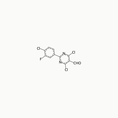 O=Cc1c(Cl)nc(-c2ccc(Cl)c(F)c2)nc1Cl